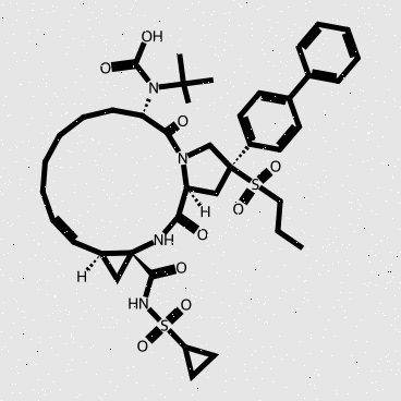 CCCS(=O)(=O)[C@@]1(c2ccc(-c3ccccc3)cc2)C[C@H]2C(=O)N[C@]3(C(=O)NS(=O)(=O)C4CC4)C[C@H]3C=CCCCCC[C@H](N(C(=O)O)C(C)(C)C)C(=O)N2C1